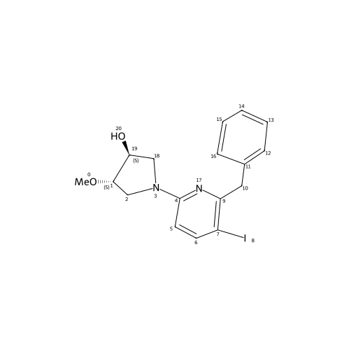 CO[C@H]1CN(c2ccc(I)c(Cc3ccccc3)n2)C[C@@H]1O